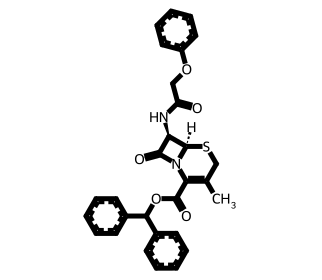 CC1=C(C(=O)OC(c2ccccc2)c2ccccc2)N2C(=O)[C@@H](NC(=O)COc3ccccc3)[C@H]2SC1